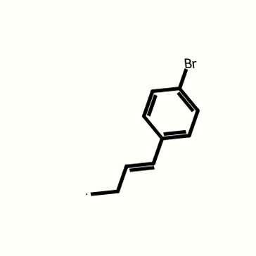 [CH2]CC=Cc1ccc(Br)cc1